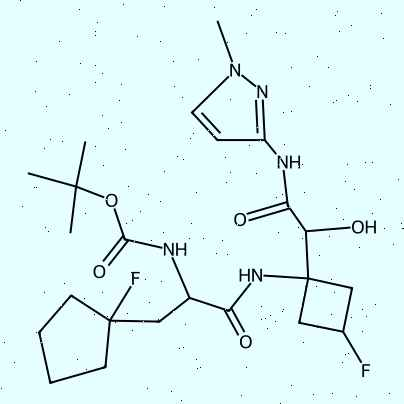 Cn1ccc(NC(=O)C(O)C2(NC(=O)C(CC3(F)CCCC3)NC(=O)OC(C)(C)C)CC(F)C2)n1